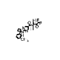 Cc1cccc(C2(Nc3ncc(C(=O)NNC(=O)C(F)F)cn3)CCC2)c1